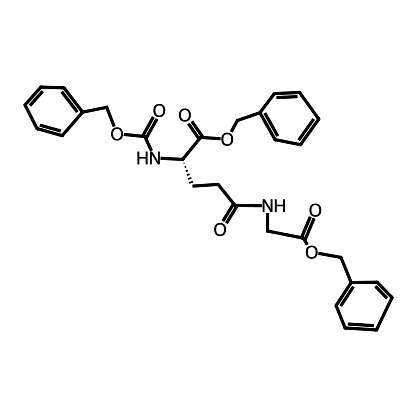 O=C(CC[C@H](NC(=O)OCc1ccccc1)C(=O)OCc1ccccc1)NCC(=O)OCc1ccccc1